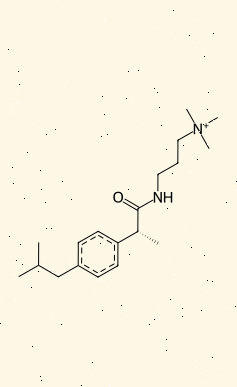 CC(C)Cc1ccc([C@@H](C)C(=O)NCCC[N+](C)(C)C)cc1